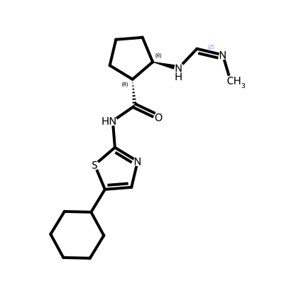 C/N=C\N[C@@H]1CCC[C@H]1C(=O)Nc1ncc(C2CCCCC2)s1